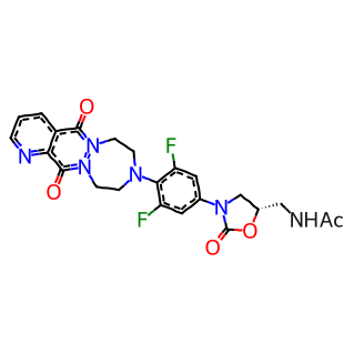 CC(=O)NC[C@H]1CN(c2cc(F)c(N3CCn4c(=O)c5cccnc5c(=O)n4CC3)c(F)c2)C(=O)O1